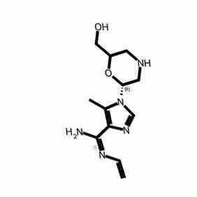 C=C/N=C(/N)c1ncn([C@H]2CNCC(CO)O2)c1C